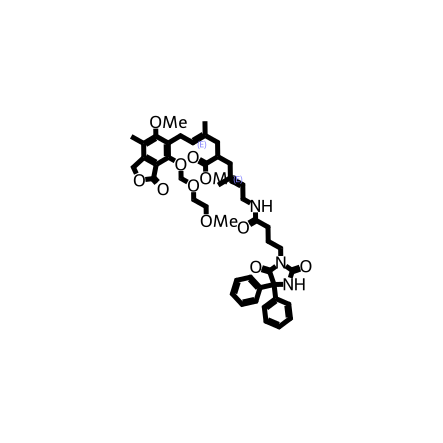 COCCOCOc1c(C/C=C(\C)CC(C/C(C)=C/CNC(=O)CCCN2C(=O)NC(c3ccccc3)(c3ccccc3)C2=O)C(=O)OC)c(OC)c(C)c2c1C(=O)OC2